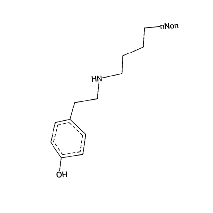 CCCCCCCCCCCCCNCCc1ccc(O)cc1